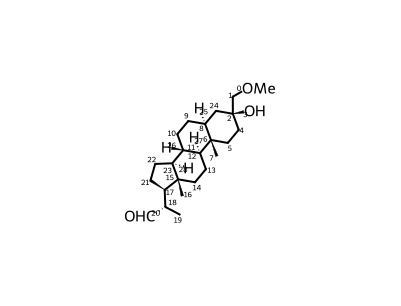 COC[C@]1(O)CC[C@@]2(C)[C@@H](CC[C@@H]3[C@@H]2CC[C@]2(C)[C@@H]([C@H](C)C=O)CC[C@@H]32)C1